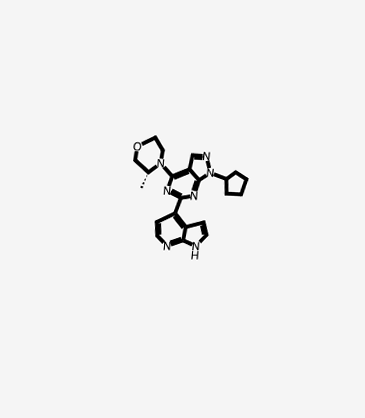 C[C@@H]1COCCN1c1nc(-c2ccnc3[nH]ccc23)nc2c1cnn2C1CCCC1